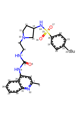 Cc1cc(NC(=O)NCCN2CCC(NS(=O)(=O)c3ccc(C(C)(C)C)cc3)C2)c2ccccc2n1